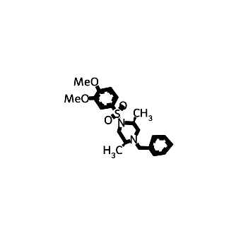 COc1ccc(S(=O)(=O)N2C[C@H](C)N(Cc3ccccc3)C[C@@H]2C)cc1OC